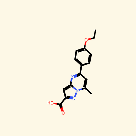 CCOc1ccc(-c2cc(C)n3nc(C(=O)O)cc3n2)cc1